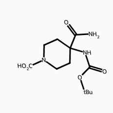 CC(C)(C)OC(=O)NC1(C(N)=O)CCN(C(=O)O)CC1